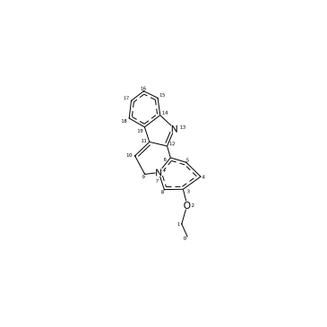 CCOc1ccc2[n+](c1)CC=C1C2=Nc2ccccc21